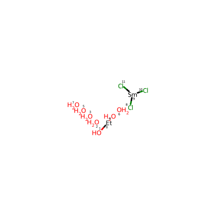 CCO.O.O.O.O.O.O.[Cl][Sm]([Cl])[Cl]